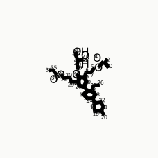 C=C(C)C(=O)OCCCc1cc(-c2ccc(C3CCC(C)CC3)cc2CC)cc(CCCOC(=O)CC)c1OCCC(CO)CO